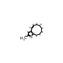 Cc1cc2c(s1)CCCCCC/C=C\2